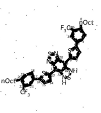 CCCCCCCCc1ccc(-c2ccc(-c3c4c(c(-c5ccc(-c6ccc(CCCCCCCC)c(C(F)(F)F)c6)s5)c5nsnc35)NSN4)s2)cc1C(F)(F)F